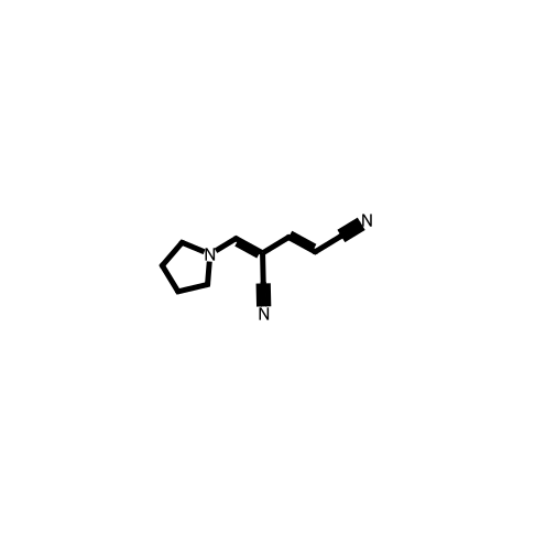 N#CC=CC(C#N)=CN1CCCC1